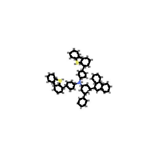 c1ccc(-c2cc(-c3cc4ccccc4c4ccccc34)cc(N(c3ccc(-c4cccc5c4sc4ccccc45)cc3)c3ccc(-c4cccc5c4sc4ccccc45)cc3)c2)cc1